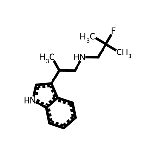 CC(CNCC(C)(C)F)c1c[nH]c2ccccc12